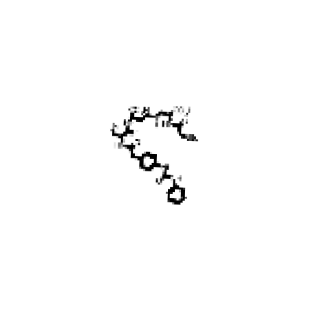 CC(C)CC(NC(=O)Cc1ccc(NC(=O)Nc2ccccc2)cc1)C(=O)NC(CCNCC(NC(=O)CC(C)(C)C)C(=O)O)C(=O)O